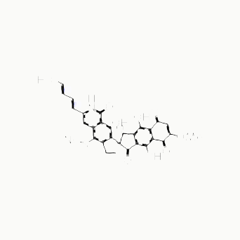 C/C=C/C=C/c1cc2c(SC#N)c3c(c(O)c2c(=O)[nH]1)[C@@]1(CC3)C(=O)c2c(O)c3c(c(O)c2C1=O)C(=O)C(OC)=CC3=O